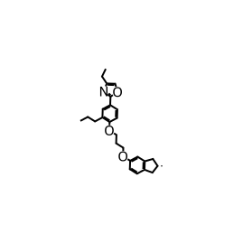 CCCc1cc(-c2nc(CC)co2)ccc1OCCCOc1ccc2c(c1)C[CH]C2